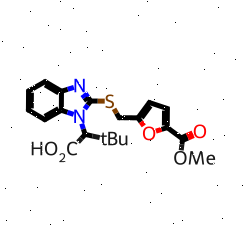 COC(=O)c1ccc(CSc2nc3ccccc3n2C(C(=O)O)C(C)(C)C)o1